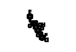 O=C(NCc1ccc(F)cc1)c1cn2c(c(O)c1=O)C(=O)N(Cc1cccc(Cl)c1F)C(O)C2